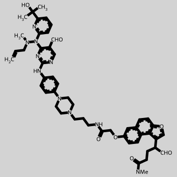 C=CCN(C)N(c1cccc(C(C)(C)O)n1)c1nc(Nc2ccc(N3CCN(CCCNC(=O)COc4ccc5c(ccc6occ(C(C=O)CCC(=O)NC)c65)c4)CC3)cc2)ncc1C=O